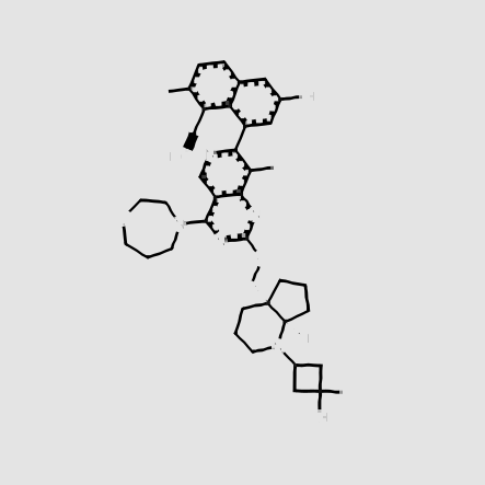 C#Cc1c(F)ccc2cc(O)cc(-c3ncc4c(N5CCCOCC5)nc(OC[C@]56CCC[C@H]5N(C5CC(C)(O)C5)CCC6)nc4c3F)c12